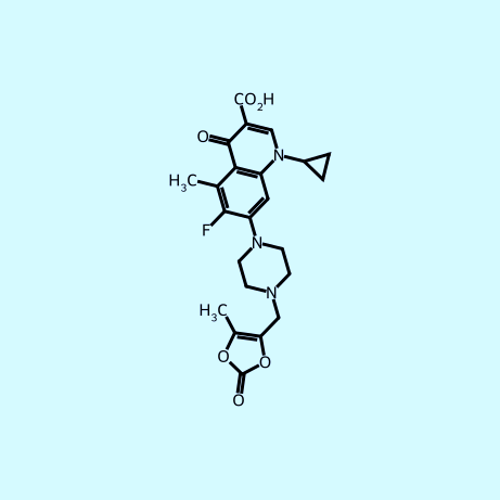 Cc1oc(=O)oc1CN1CCN(c2cc3c(c(C)c2F)c(=O)c(C(=O)O)cn3C2CC2)CC1